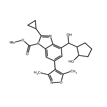 Cc1noc(C)c1-c1cc(C(O)C2CCCC2O)c2nc(C3CC3)n(C(=O)OC(C)(C)C)c2c1